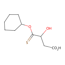 O=C(O)CC(O)C(=S)OC1CCCCC1